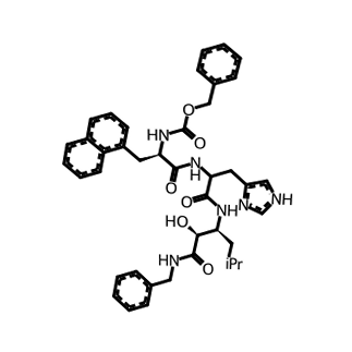 CC(C)C[C@H](NC(=O)C(Cc1c[nH]cn1)NC(=O)[C@@H](Cc1cccc2ccccc12)NC(=O)OCc1ccccc1)[C@H](O)C(=O)NCc1ccccc1